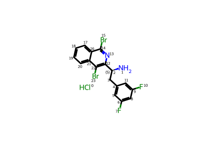 Cl.N[C@@H](Cc1cc(F)cc(F)c1)c1nc(Br)c2ccccc2c1Br